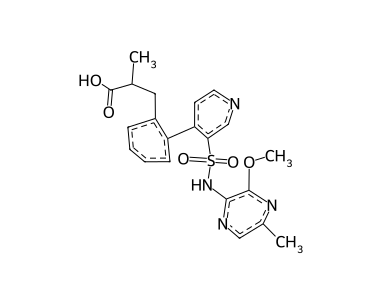 COc1nc(C)cnc1NS(=O)(=O)c1cnccc1-c1ccccc1CC(C)C(=O)O